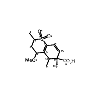 COC1CC(C)S(=O)(=O)C2=C1C(C)C(F)(C(=O)O)C=C2